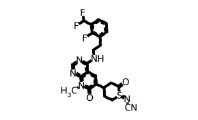 Cn1c(=O)c(C2CCS(=NC#N)C(=O)C2)cc2c(NCCc3cccc(C(F)F)c3F)ncnc21